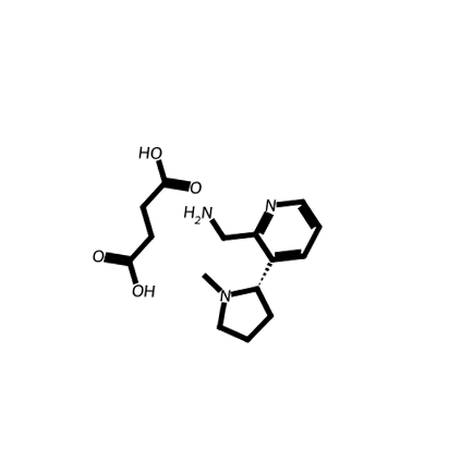 CN1CCC[C@H]1c1cccnc1CN.O=C(O)CCC(=O)O